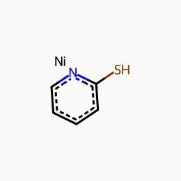 Sc1ccccn1.[Ni]